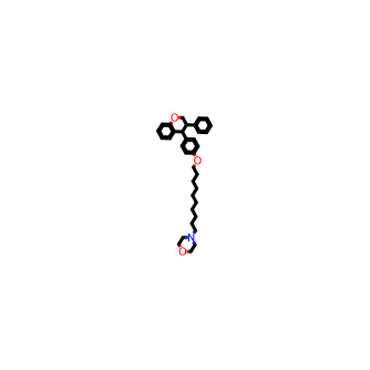 c1ccc(C2COc3ccccc3C2c2ccc(OCCCCCCCCCCN3CCOCC3)cc2)cc1